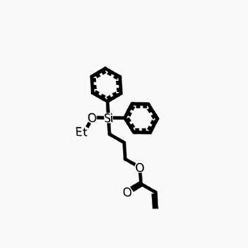 C=CC(=O)OCCC[Si](OCC)(c1ccccc1)c1ccccc1